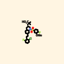 COc1cc(S(=O)(=O)N2C[C@H](CC(C)(C)C(=O)O)Cc3ccc(C=Cc4c(F)cccc4Cl)cc32)ccc1F